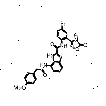 COc1ccc(CC(=O)Nc2cccc3cc(C(=O)Nc4ccc(Br)cc4-c4noc(=O)[nH]4)[nH]c23)cc1